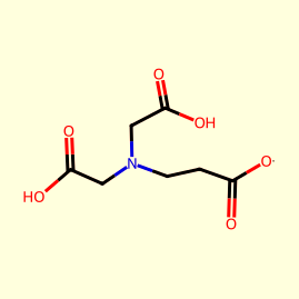 [O]C(=O)CCN(CC(=O)O)CC(=O)O